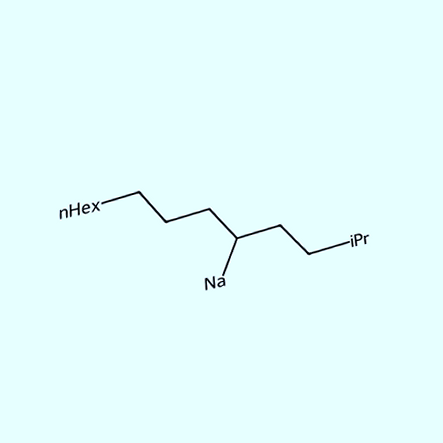 CCCCCCCCC[CH]([Na])CCC(C)C